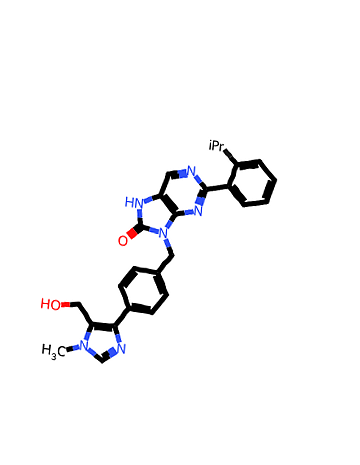 CC(C)c1ccccc1-c1ncc2[nH]c(=O)n(Cc3ccc(-c4ncn(C)c4CO)cc3)c2n1